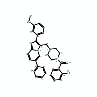 COc1cccc(-c2nc3ccc(-c4ccccc4)cn3c2CN2CCN(C(=O)c3ccccc3Cl)CC2)c1